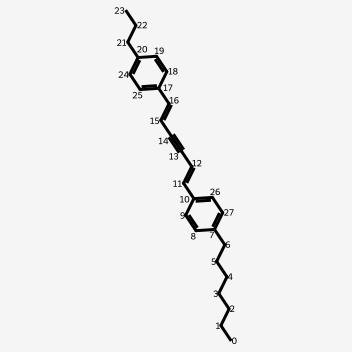 CCCCCCCc1ccc(/C=C/C#C/C=C/c2ccc(CCC)cc2)cc1